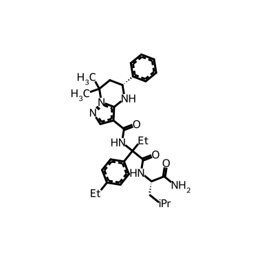 CCc1ccc(C(CC)(NC(=O)c2cnn3c2N[C@@H](c2ccccc2)CC3(C)C)C(=O)N[C@@H](CC(C)C)C(N)=O)cc1